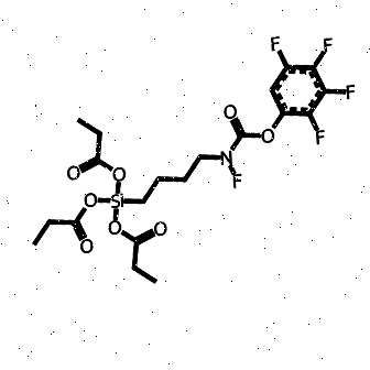 CCC(=O)O[Si](CCCCN(F)C(=O)Oc1cc(F)c(F)c(F)c1F)(OC(=O)CC)OC(=O)CC